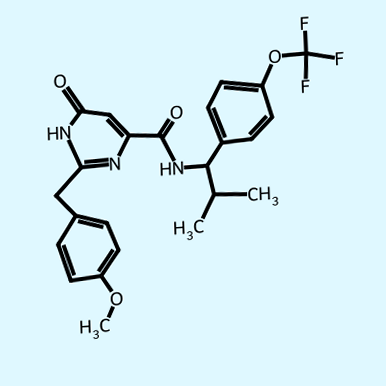 COc1ccc(Cc2nc(C(=O)NC(c3ccc(OC(F)(F)F)cc3)C(C)C)cc(=O)[nH]2)cc1